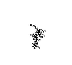 CC(C)C[C@H](NC(=O)[C@@H](NC(=O)CNC(=O)[C@@H](N)CC(C)C)C(C)C)C(=O)N[C@H](C(=O)N[C@@H](CCCCN)C(=O)O)[C@@H](C)O